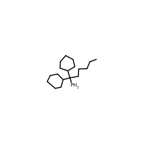 CCCCCC(P)(C1CCCCC1)C1CCCCC1